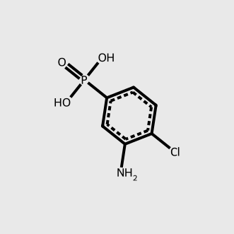 Nc1cc(P(=O)(O)O)ccc1Cl